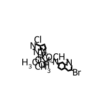 CN(C[C@H]1O[C@@H](n2ccc3c(Cl)ncnc32)[C@@H]2OC(C)(C)O[C@@H]21)c1ccc2cc(Br)cnc2c1